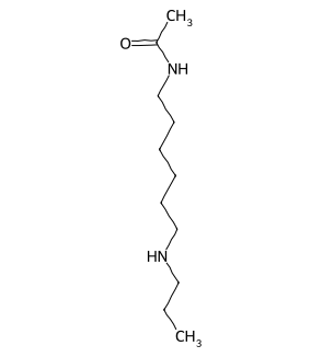 CCCNCCCCCCNC(C)=O